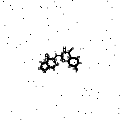 CC(NC(=O)Cn1ncc2sccc2c1=O)c1ccc(F)cc1